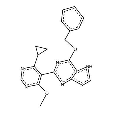 COc1ncnc(C2CC2)c1-c1nc(OCc2ccccc2)c2[nH]ccc2n1